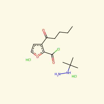 CC(C)(C)NN.CCCCC(=O)c1ccoc1C(=O)Cl.Cl.Cl